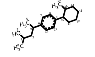 CC(O)CC(C)c1ccc(C2CCCCC2C)cc1